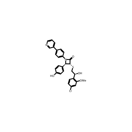 COc1cc(Cl)ccc1[C@H](O)CS[C@H]1C(=O)N(c2ccc(-c3cccnc3)cc2)[C@@H]1c1ccc(O)cc1